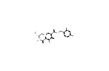 CCCO[C@H]1Cn2cc(C(=O)NCc3ccc(F)cc3F)c(=O)c(O)c2C(=O)N1CC